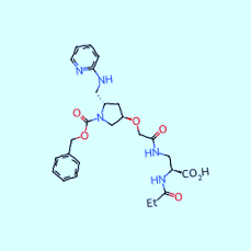 CCC(=O)N[C@@H](CNC(=O)CO[C@@H]1C[C@@H](CNc2ccccn2)N(C(=O)OCc2ccccc2)C1)C(=O)O